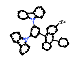 CC(C)(C)c1ccc2c(-c3cc(-n4c5ccccc5c5ccccc54)cc(-n4c5ccccc5c5ccccc54)c3)c3ccccc3c(-c3ccccc3)c2c1